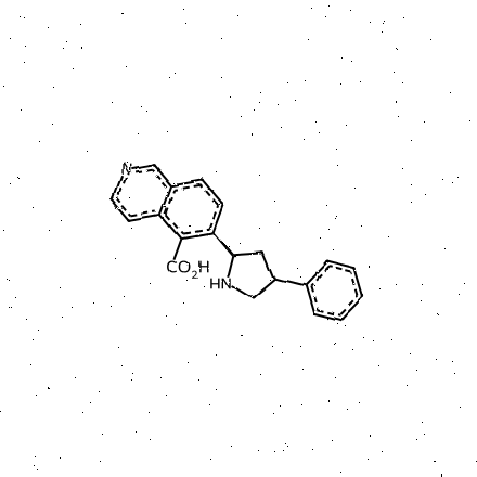 O=C(O)c1c(C2CC(c3ccccc3)CN2)ccc2cnccc12